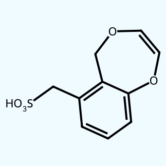 O=S(=O)(O)Cc1cccc2c1COC=CO2